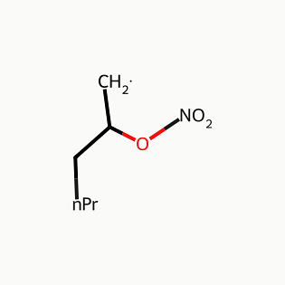 [CH2]C(CCCC)O[N+](=O)[O-]